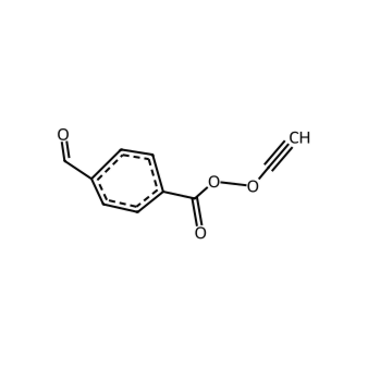 C#COOC(=O)c1ccc(C=O)cc1